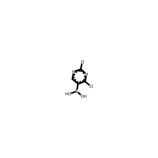 OB(O)c1cnc(Cl)nc1Cl